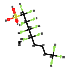 O=S(=O)([O-])C(F)(F)C(F)(F)C(F)(F)C(F)(F)CCCC(F)(F)F.[K+]